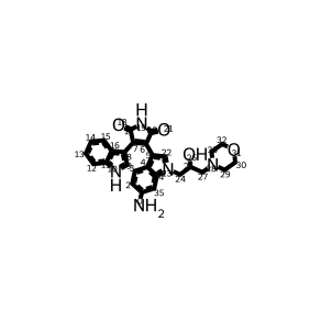 Nc1ccc2c(C3=C(c4c[nH]c5ccccc45)C(=O)NC3=O)cn(CC(O)CN3CCOCC3)c2c1